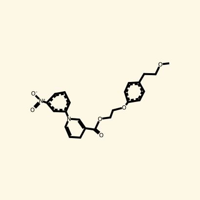 COCCc1ccc(OCCOC(=O)C2=CN(c3cccc([N+](=O)[O-])c3)C=CC2)cc1